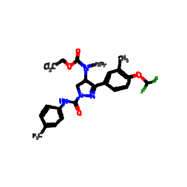 CCCN(C(=O)OCC(Cl)(Cl)Cl)C1CN(C(=O)Nc2ccc(C(F)(F)F)cc2)N=C1c1ccc(OC(F)F)c(C)c1